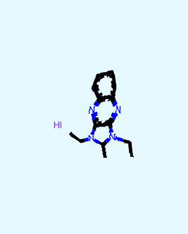 CCN1c2nc3ccccc3nc2N(CC)C1C.I